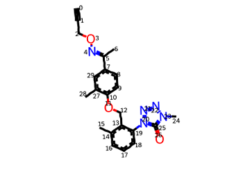 C#CCON=C(C)c1ccc(OCc2c(C)cccc2-n2nnn(C)c2=O)c(C)c1